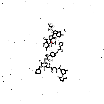 CC[C@@]1(OC(=O)N(C)C[C@@H]2CCCN2C(=O)OCc2ccc(NC(O)CNC(=O)[C@H](Cc3ccccc3)NC(=O)CNC(=O)CNC(=O)c3cc(I)cc(N4C(=O)C=CC4=O)c3)cc2)C(=O)OCc2c1cc1n(c2=O)Cc2c-1nc1cc(F)c(C)c3c1c2[C@@H](NC(=O)CO)C3